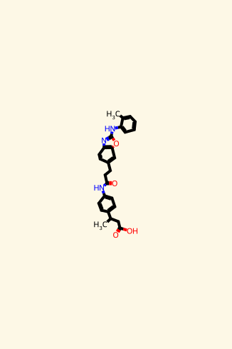 Cc1ccccc1Nc1nc2ccc(CCC(=O)Nc3ccc(C(C)CC(=O)O)cc3)cc2o1